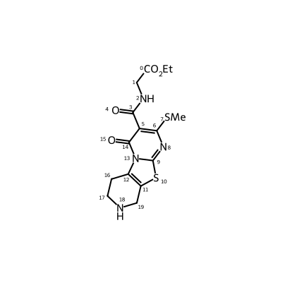 CCOC(=O)CNC(=O)c1c(SC)nc2sc3c(n2c1=O)CCNC3